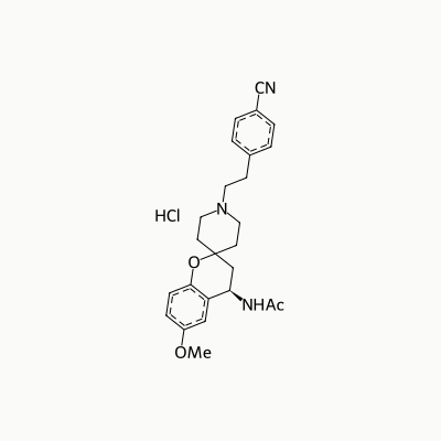 COc1ccc2c(c1)[C@H](NC(C)=O)CC1(CCN(CCc3ccc(C#N)cc3)CC1)O2.Cl